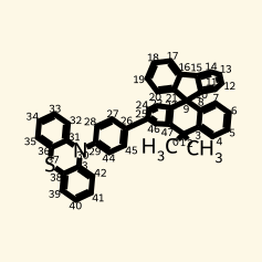 CC1(C)c2ccccc2C2(c3ccccc3-c3ccccc32)c2ccc(-c3ccc(N4c5ccccc5Sc5ccccc54)cc3)cc21